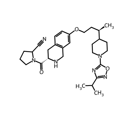 CC(C)c1noc(N2CCC([C@H](C)CCOc3ccc4c(c3)CN[C@H](C(=O)N3CCCC3C#N)C4)CC2)n1